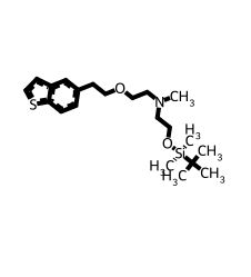 CN(CCOCCc1ccc2sccc2c1)CCO[Si](C)(C)C(C)(C)C